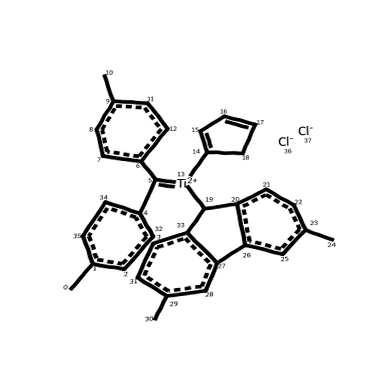 Cc1ccc([C](c2ccc(C)cc2)=[Ti+2]([C]2=CC=CC2)[CH]2c3ccc(C)cc3-c3cc(C)ccc32)cc1.[Cl-].[Cl-]